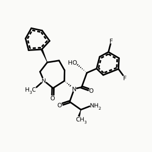 C[C@H](N)C(=O)N(C(=O)[C@H](O)c1cc(F)cc(F)c1)[C@H]1CC[C@H](c2ccccc2)CN(C)C1=O